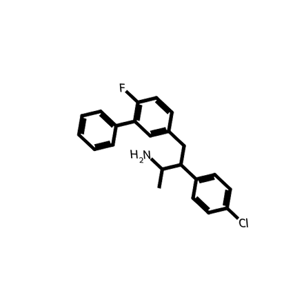 CC(N)C(Cc1ccc(F)c(-c2ccccc2)c1)c1ccc(Cl)cc1